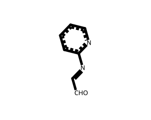 O=CC=Nc1ccccn1